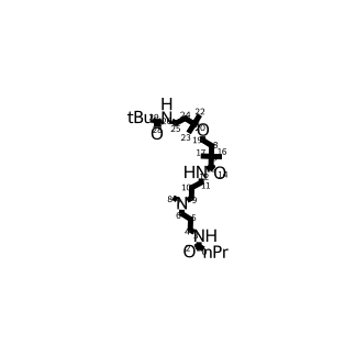 CCCC(=O)NCCCN(C)CCCNC(=O)C(C)(C)CCOC(C)(C)CCNC(=O)C(C)(C)C